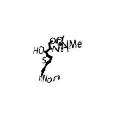 CCCCCCCCCC#Cc1ccc(C(O)C(CO)NC(=O)NC)s1